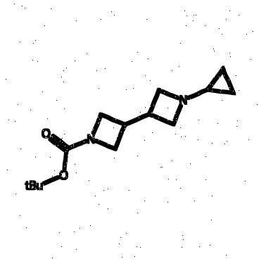 CC(C)(C)OC(=O)N1CC(C2CN(C3CC3)C2)C1